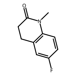 CN1C(=O)CCc2cc(F)ccc21